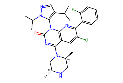 CC(C)c1cnn(C(C)C)c1-n1c(=O)nc(N2C[C@@H](C)NC[C@@H]2C)c2cc(Cl)c(-c3ccccc3F)nc21